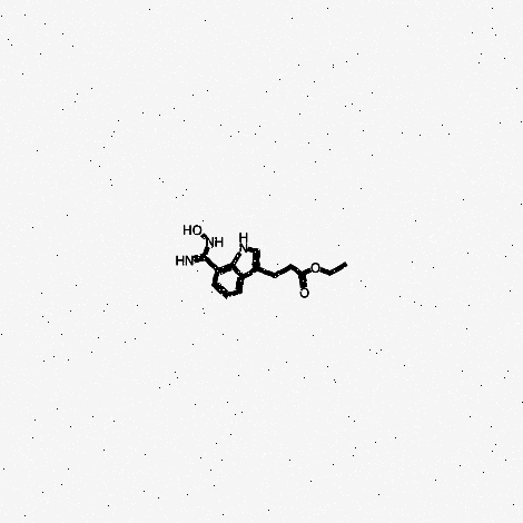 CCOC(=O)CCc1c[nH]c2c(C(=N)NO)cccc12